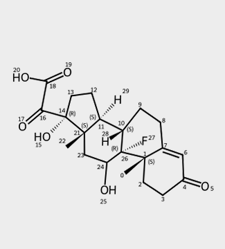 C[C@]12CCC(=O)C=C1CC[C@H]1[C@@H]3CC[C@](O)(C(=O)C(=O)O)[C@@]3(C)CC(O)[C@@]12F